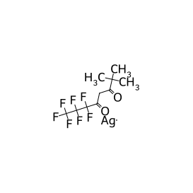 CC(C)(C)C(=O)CC(=O)C(F)(F)C(F)(F)C(F)(F)F.[Ag]